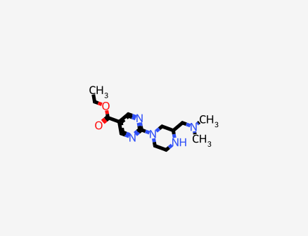 CCOC(=O)c1cnc(N2CCNC(CN(C)C)C2)nc1